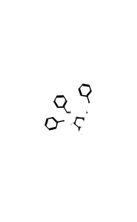 OC1O[C@H](COCc2ccccc2)[C@@H](OCc2ccccc2)[C@@H]1OCc1ccccc1